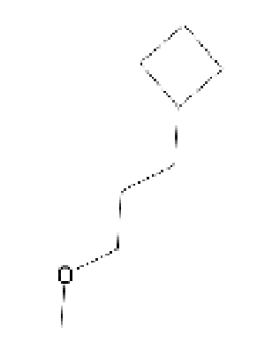 COCCCC1CCC1